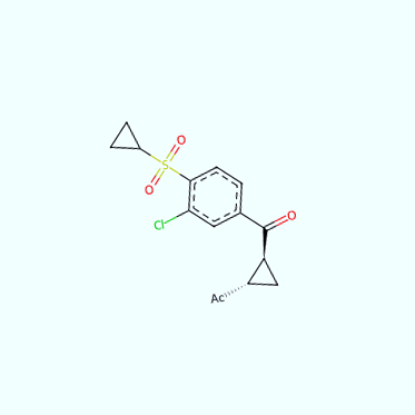 CC(=O)[C@H]1C[C@@H]1C(=O)c1ccc(S(=O)(=O)C2CC2)c(Cl)c1